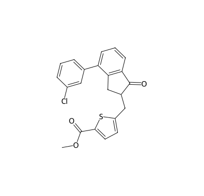 COC(=O)c1ccc(CC2Cc3c(cccc3-c3cccc(Cl)c3)C2=O)s1